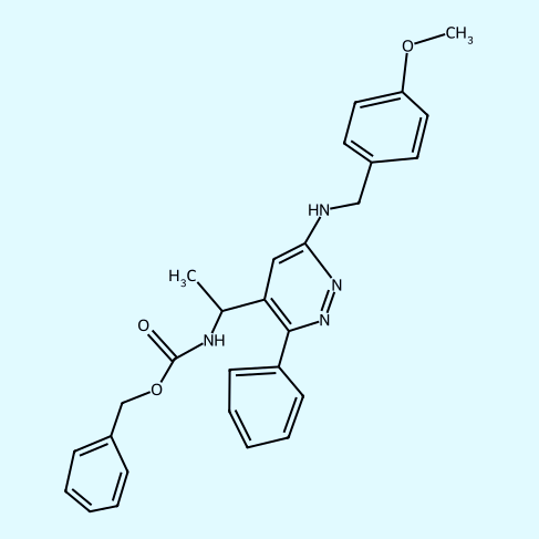 COc1ccc(CNc2cc(C(C)NC(=O)OCc3ccccc3)c(-c3ccccc3)nn2)cc1